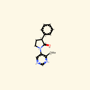 COc1ncncc1N1CCC(c2ccccc2)C1=O